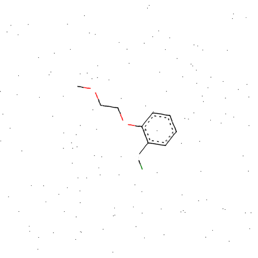 COCCOc1cccc[c]1[Sn][F]